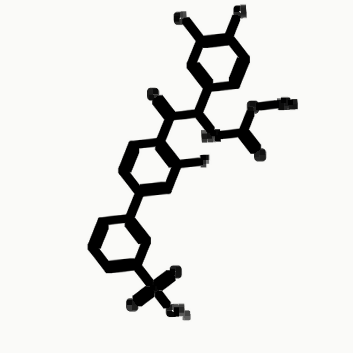 CC(C)(C)OC(=O)NC(C(=O)c1ccc(-c2cccc(S(C)(=O)=O)c2)cc1F)c1ccc(Cl)c(Cl)c1